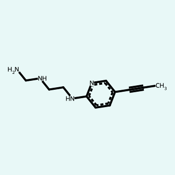 CC#Cc1ccc(NCCNCN)nc1